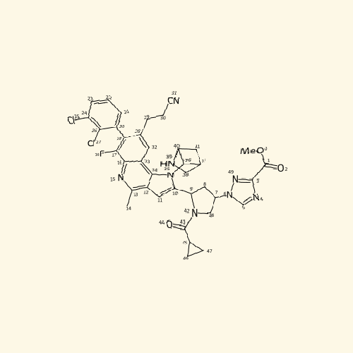 COC(=O)c1ncn(C2CC(c3cc4c(C)nc5c(F)c(-c6cccc(Cl)c6Cl)c(CCC#N)cc5c4n3C3C4CNC3C4)N(C(=O)C3CC3)C2)n1